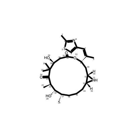 C/C(=C/c1csc(C)n1)[C@@H]1C[C@@H]2N[C@@H]2CCC[C@H](C)[C@H](O)[C@@H](C)C(=O)C(C)(C)[C@@H](O)CC(=O)O1